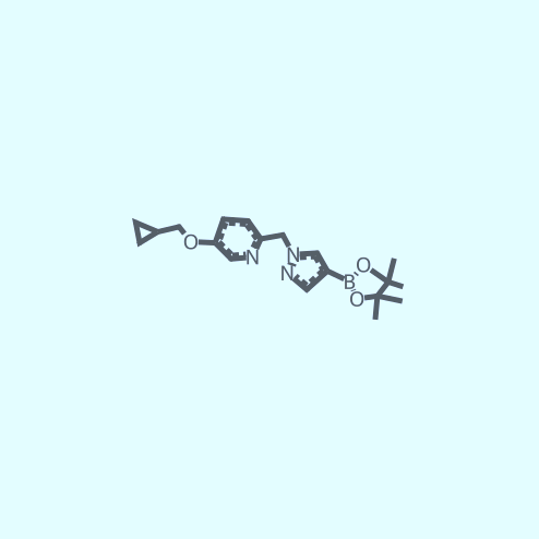 CC1(C)OB(c2cnn(Cc3ccc(OCC4CC4)cn3)c2)OC1(C)C